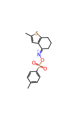 Cc1ccc(S(=O)(=O)O/N=C2\CCCc3sc(C)cc32)cc1